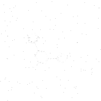 Oc1cc(-c2cscn2)nc(-c2nc(Cl)cs2)n1